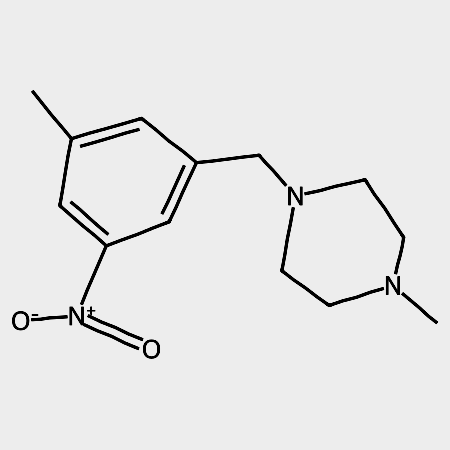 Cc1cc(CN2CCN(C)CC2)cc([N+](=O)[O-])c1